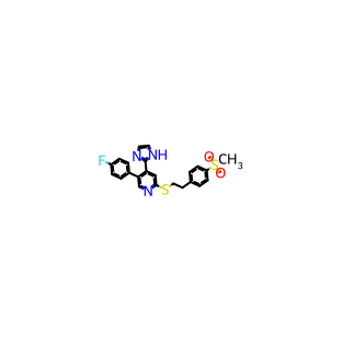 CS(=O)(=O)c1ccc(CCSc2cc(-c3ncc[nH]3)c(-c3ccc(F)cc3)cn2)cc1